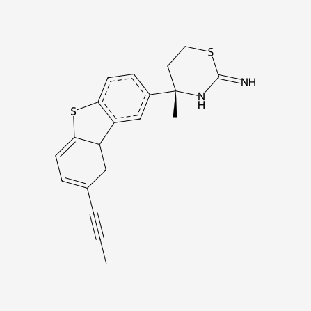 CC#CC1=CC=C2Sc3ccc([C@]4(C)CCSC(=N)N4)cc3C2C1